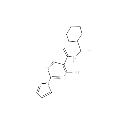 C[C@H](NC(=O)c1cnc(-n2cccn2)nc1O)C1CCCCC1